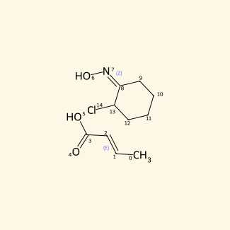 C/C=C/C(=O)O.O/N=C1/CCCCC1Cl